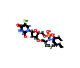 C=C/C=C\C(=C/C)OP(=O)(N[C@@H](C)C(=O)OCC)OC[C@H]1O[C@@H](n2cc(F)c(=O)[nH]c2=O)CC1O